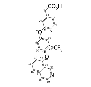 O=C(O)Cc1cccc(Oc2ccc(Oc3cccc4ccncc34)c(C(F)(F)F)c2)c1